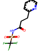 O=C(CCc1ccccn1)NS(=O)(=O)C(F)(F)F